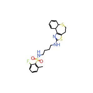 Cc1cccc(F)c1S(=O)(=O)NCCCCNc1nc2c(s1)CCSC1C=CC=CC21